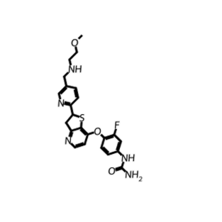 COCCNCc1ccc(C2Cc3nccc(Oc4ccc(NC(N)=O)cc4F)c3S2)nc1